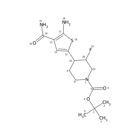 CC(C)(C)OC(=O)N1CCC(c2cc(C(N)=O)c(N)s2)C(F)C1